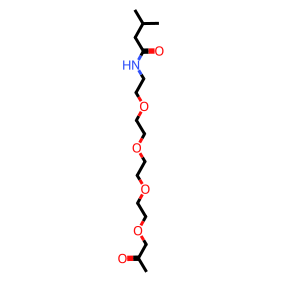 CC(=O)COCCOCCOCCOCCNC(=O)CC(C)C